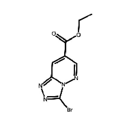 CCOC(=O)c1cnn2c(Br)nnc2c1